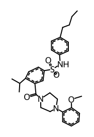 CCCCc1ccc(NS(=O)(=O)c2ccc(C(C)C)c(C(=O)N3CCN(c4ccccc4OC)CC3)c2)cc1